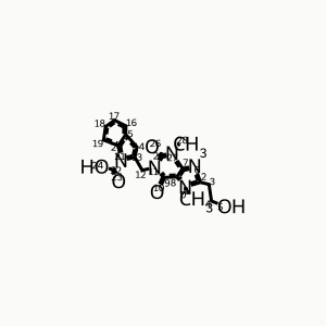 Cn1c(CCO)nc2c1c(=O)n(Cc1cc3ccccc3n1C(=O)O)c(=O)n2C